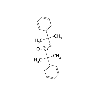 CC(C)(S[S@@+]([O-])C(C)(C)c1ccccc1)c1ccccc1